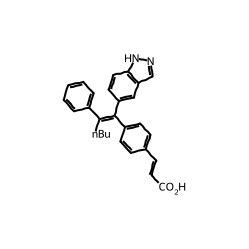 CCCCC(=C(c1ccc(C=CC(=O)O)cc1)c1ccc2[nH]ncc2c1)c1ccccc1